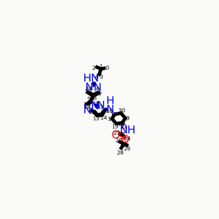 CC(C)CNc1ncc(-c2cnc3ccc(NC4CCC(NC(=O)OC(C)(C)C)CC4)nn23)cn1